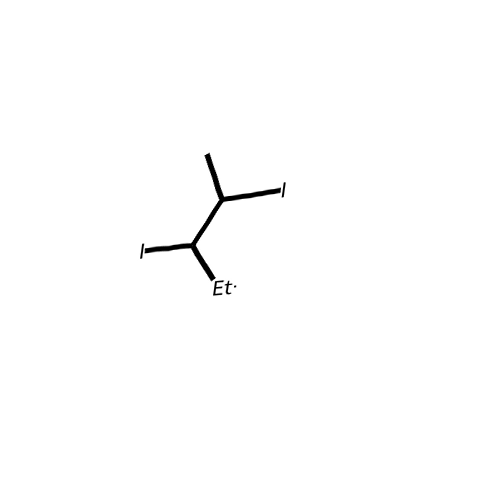 C[CH]C(I)C(C)I